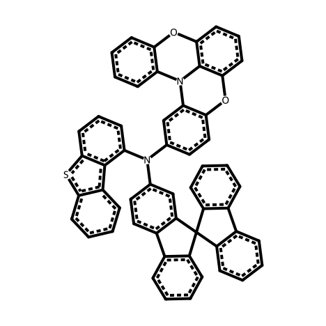 c1ccc2c(c1)Oc1cccc3c1N2c1cc(N(c2ccc4c(c2)C2(c5ccccc5-c5ccccc52)c2ccccc2-4)c2cccc4sc5ccccc5c24)ccc1O3